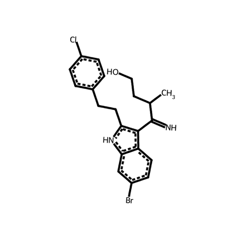 CC(CCO)C(=N)c1c(CCc2ccc(Cl)cc2)[nH]c2cc(Br)ccc12